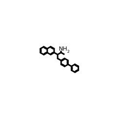 CC(N)C(Cc1ccc(-c2ccccc2)cc1)c1ccc2ccccc2c1